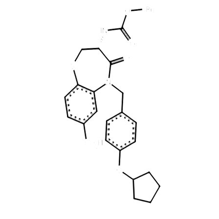 CC(C)(C)OC(=O)N[C@H]1CSc2ccc(C(=O)O)cc2N(Cc2ccc(OC3CCCC3)cc2)C1=O